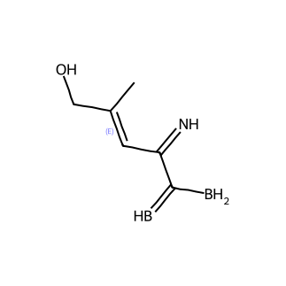 B=C(B)C(=N)/C=C(\C)CO